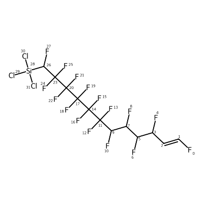 FC=CC(F)C(F)C(F)C(F)C(F)(F)C(F)(F)C(F)(F)C(F)(F)C(F)(F)C(F)[Si](Cl)(Cl)Cl